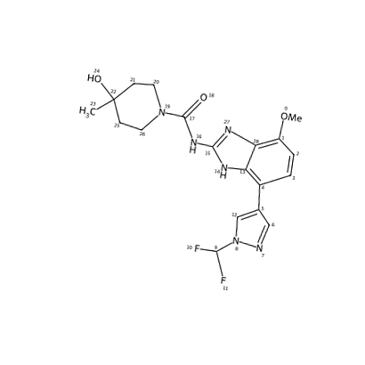 COc1ccc(-c2cnn(C(F)F)c2)c2[nH]c(NC(=O)N3CCC(C)(O)CC3)nc12